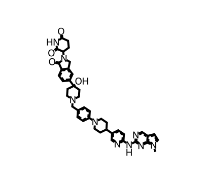 Cn1ccc2cnc(Nc3ccc(C4CCN(c5ccc(CN6CCC(O)(c7ccc8c(c7)CN(C7CCC(=O)NC7=O)C8=O)CC6)cc5)CC4)cn3)nc21